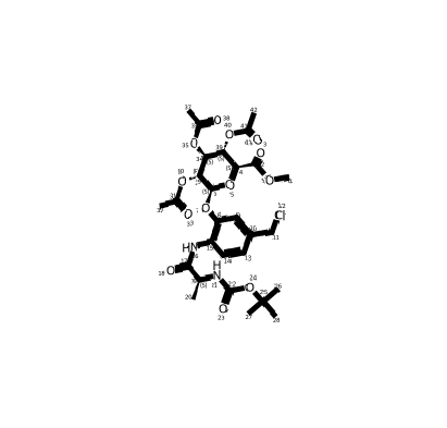 COC(=O)[C@H]1O[C@@H](Oc2cc(CCl)ccc2NC(=O)[C@H](C)NC(=O)OC(C)(C)C)[C@H](OC(C)=O)[C@@H](OC(C)=O)[C@@H]1OC(C)=O